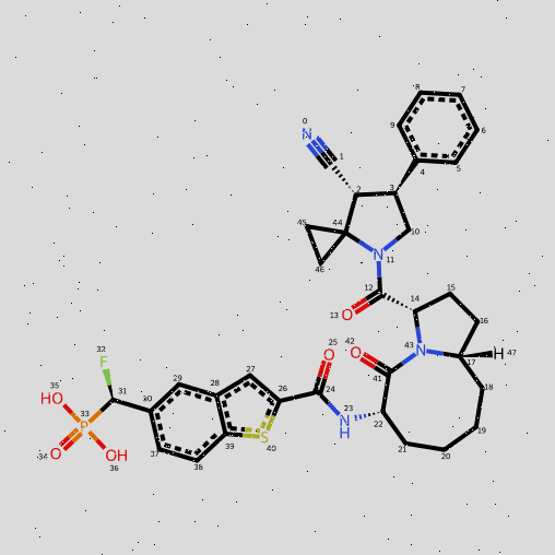 N#C[C@@H]1[C@@H](c2ccccc2)CN(C(=O)[C@@H]2CC[C@@H]3CCCC[C@H](NC(=O)c4cc5cc([C@H](F)P(=O)(O)O)ccc5s4)C(=O)N32)C12CC2